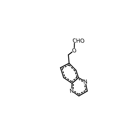 O=COCc1ccc2nccnc2c1